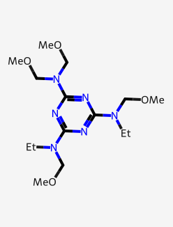 CCN(COC)c1nc(N(CC)COC)nc(N(COC)COC)n1